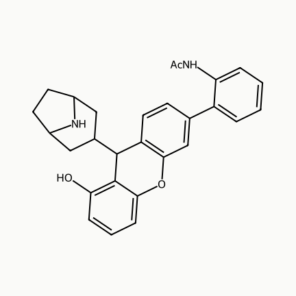 CC(=O)Nc1ccccc1-c1ccc2c(c1)Oc1cccc(O)c1C2C1CC2CCC(C1)N2